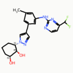 Cc1cc(Nc2nccc(C(F)F)n2)cc(-c2cnn([C@H]3CCC[C@H](O)[C@@H]3O)c2)c1